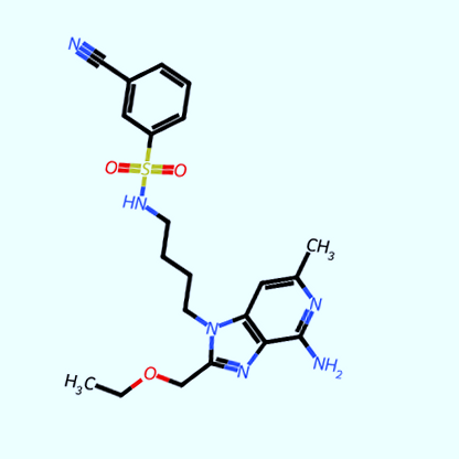 CCOCc1nc2c(N)nc(C)cc2n1CCCCNS(=O)(=O)c1cccc(C#N)c1